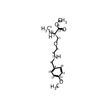 CN[C@H](COCCNCc1ccc(OC)cc1)C(=O)OC